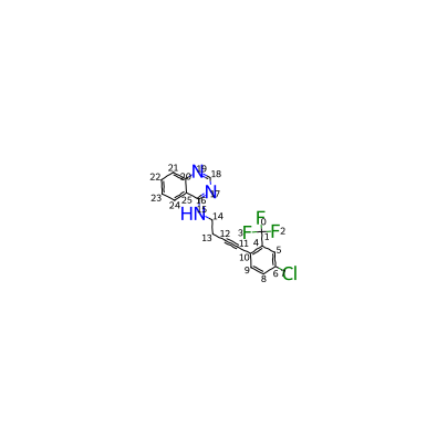 FC(F)(F)c1cc(Cl)ccc1C#CCCNc1ncnc2ccccc12